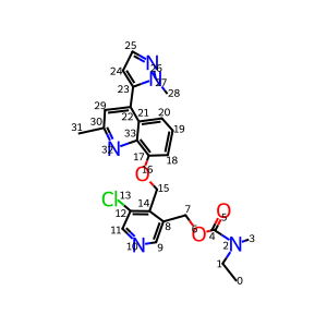 CCN(C)C(=O)OCc1cncc(Cl)c1COc1cccc2c(-c3ccnn3C)cc(C)nc12